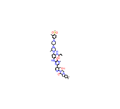 C=CC(=O)Nc1cc(Nc2nc(-c3ccnc(N4CCn5c(cc6c5CC(C)(C)C6)C4=O)c3CO)cn(C)c2=O)ccc1N1CCN(C2CCN(c3ccc(S(C)(=O)=O)c(C)c3)CC2)C[C@@H]1C